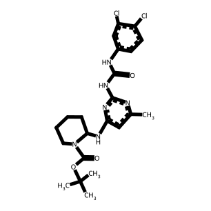 Cc1cc(NC2CCCCN2C(=O)OC(C)(C)C)nc(NC(=O)Nc2ccc(Cl)c(Cl)c2)n1